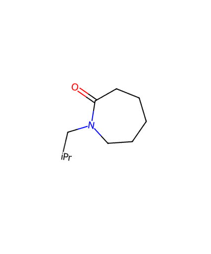 CC(C)CN1CCCCCC1=O